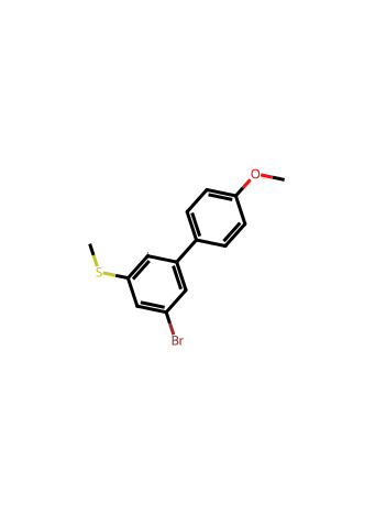 COc1ccc(-c2[c]c(SC)cc(Br)c2)cc1